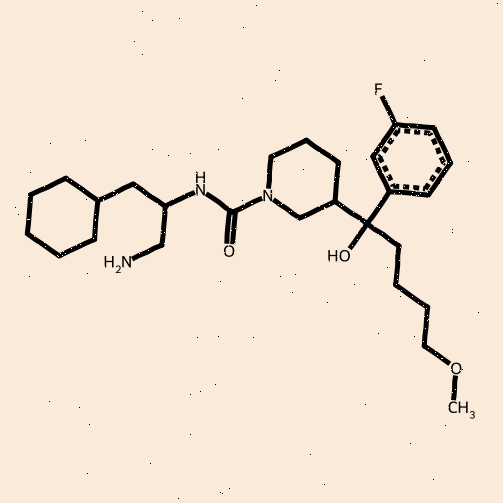 COCCCCC(O)(c1cccc(F)c1)C1CCCN(C(=O)NC(CN)CC2CCCCC2)C1